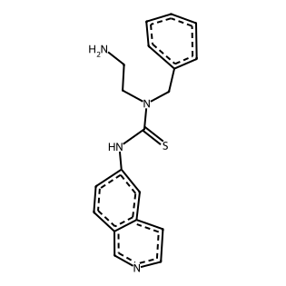 NCCN(Cc1ccccc1)C(=S)Nc1ccc2cnccc2c1